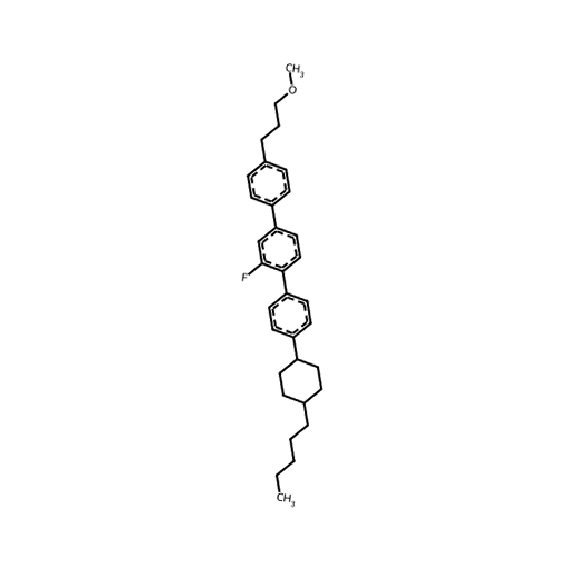 CCCCCC1CCC(c2ccc(-c3ccc(-c4ccc(CCCOC)cc4)cc3F)cc2)CC1